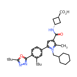 Cc1c(C(=O)N[C@H]2C[C@H](C(=O)O)C2)cc(-c2ccc(-c3nnc(C(C)(C)C)o3)c(C(C)(C)C)c2)n1CC1CCCCC1